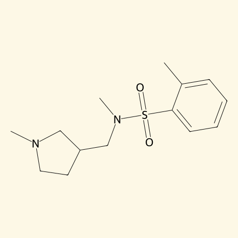 Cc1ccccc1S(=O)(=O)N(C)CC1CCN(C)C1